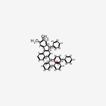 Cc1cc2c3c4ccccc4c(N(c4ccc(-c5ccccc5)cc4)c4ccccc4-c4ccccc4)cc3n(-c3ccccc3)c2cc1C